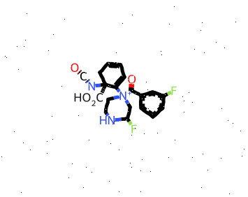 O=C=NC1(C(=O)O)CC=CC=C1[N+]1(C(=O)c2cccc(F)c2)CCNC(F)C1